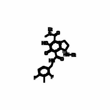 CCN[C@H]1CCn2c(C(=O)N(C)CC)c(O)c(=O)c(C(=O)NCc3ccc(F)c(C)c3F)c21